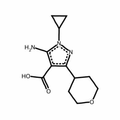 Nc1c(C(=O)O)c(C2CCOCC2)nn1C1CC1